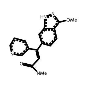 CNC(=O)/C=C(\c1cccnc1)c1ccc2c(OC)n[nH]c2c1